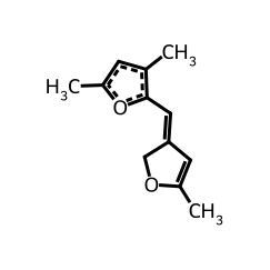 CC1=C/C(=C/c2oc(C)cc2C)CO1